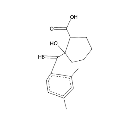 B=C(c1ccc(C)cc1C)C1(O)CCCCC1C(=O)O